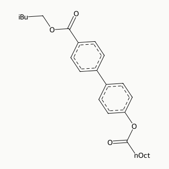 CCCCCCCCC(=O)Oc1ccc(-c2ccc(C(=O)OCC(C)CC)cc2)cc1